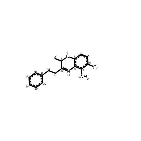 CC1Oc2ccc(F)c(N)c2N=C1CCc1ccccc1